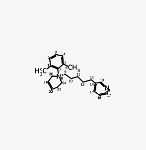 Cc1cccc(C)c1[N+]1(CCCCCc2cccnc2)CC=CCC1